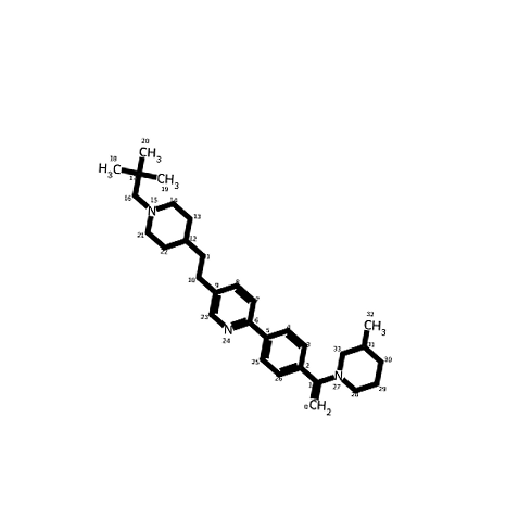 C=C(c1ccc(-c2ccc(CCC3CCN(CC(C)(C)C)CC3)cn2)cc1)N1CCCC(C)C1